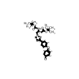 CC(C)(C)OC(=O)C[C@@H](Cn1nnc(-c2ccc(Oc3ccc(Cl)cc3)cc2)n1)NC(=O)OC(C)(C)C